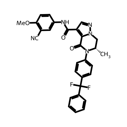 COc1ccc(NC(=O)c2cnn3c2C(=O)N(c2ccc(C(F)(F)c4ccccc4)cc2)[C@@H](C)C3)cc1C#N